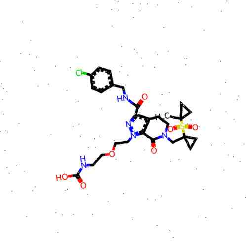 CC1(S(=O)(=O)C2(CN3CCc4c(C(=O)NCc5ccc(Cl)cc5)nn(CCOCCNC(=O)O)c4C3=O)CC2)CC1